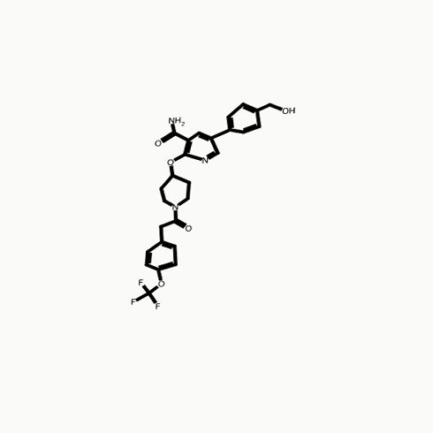 NC(=O)c1cc(-c2ccc(CO)cc2)cnc1OC1CCN(C(=O)Cc2ccc(OC(F)(F)F)cc2)CC1